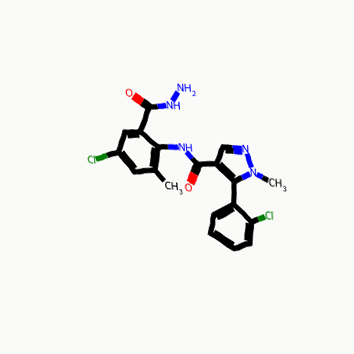 Cc1cc(Cl)cc(C(=O)NN)c1NC(=O)c1cnn(C)c1-c1ccccc1Cl